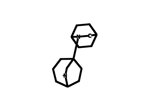 C1CC2CCC(N3CC4CCC3CC4)(C1)C[N]2